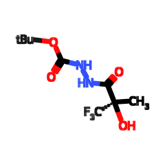 CC(C)(C)OC(=O)NNC(=O)[C@@](C)(O)C(F)(F)F